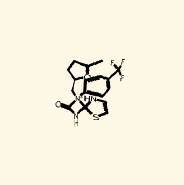 CC1CC[C@H](C[N+]2(c3ccc(C(F)(F)F)cc3)C(=O)NC23NC=CS3)O1